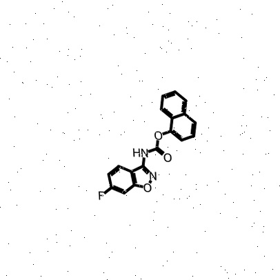 O=C(Nc1noc2cc(F)ccc12)Oc1cccc2ccccc12